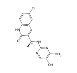 C[C@H](Nc1ncc(O)c(N)n1)c1cc2cc(Cl)ccc2[nH]c1=O